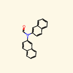 O=CN(c1ccc2ccccc2c1)c1ccc2ccccc2c1